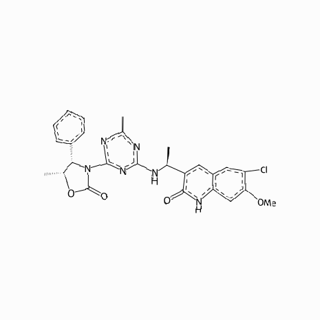 COc1cc2[nH]c(=O)c([C@H](C)Nc3nc(C)nc(N4C(=O)O[C@H](C)[C@@H]4c4ccccc4)n3)cc2cc1Cl